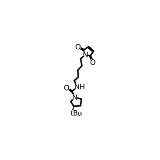 CC(C)(C)[C@@H]1CCN(C(=O)NCCCCCN2C(=O)C=CC2=O)C1